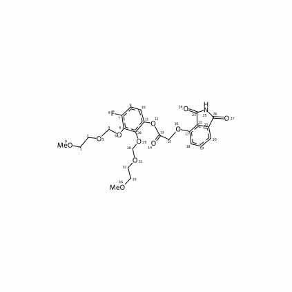 COCCOCOc1c(F)ccc(OC(=O)COc2cccc3c2C(=O)NC3=O)c1OCOCCOC